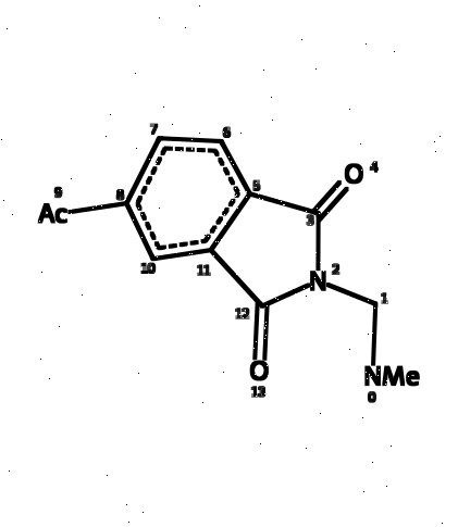 CNCN1C(=O)c2ccc(C(C)=O)cc2C1=O